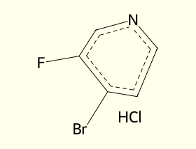 Cl.Fc1cnccc1Br